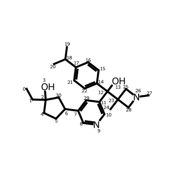 CCC1(O)CCC(c2cncc(C(O)(c3ccc(C(C)C)cc3)C3(C)CN(C)C3)c2)C1